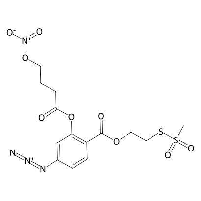 CS(=O)(=O)SCCOC(=O)c1ccc(N=[N+]=[N-])cc1OC(=O)CCCO[N+](=O)[O-]